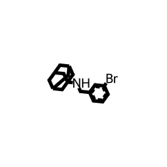 Brc1cccc(CNC23CC4CC(CC(C4)C2)C3)c1